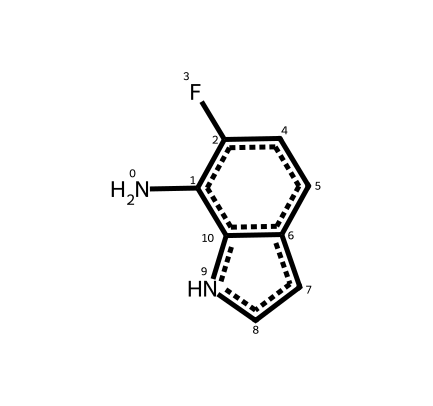 Nc1c(F)ccc2cc[nH]c12